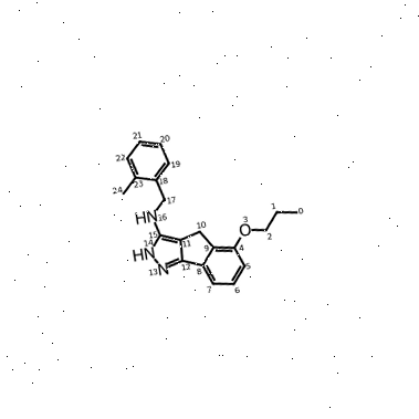 CCCOc1cccc2c1Cc1c-2n[nH]c1NCc1ccccc1C